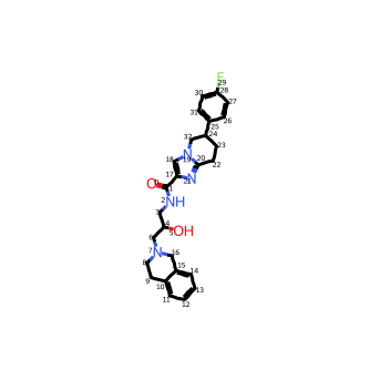 O=C(NCC(O)CN1CCc2ccccc2C1)c1cn2c(n1)CCC(c1ccc(F)cc1)C2